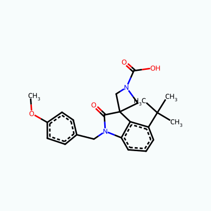 COc1ccc(CN2C(=O)C3(CN(C(=O)O)C3)c3c2cccc3C(C)(C)C)cc1